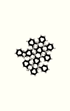 CC(C)c1cccc(C(C)C)c1B1c2ccccc2N(c2ccccc2)c2cc3c(cc21)B1c2cc4sc5ccccc5c4cc2N2c4ccccc4B4c5ccccc5N5c6ccccc6B6c7ccccc7N3c3c6c5c4c2c31